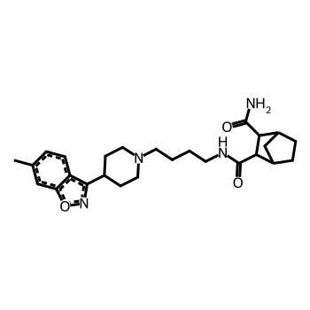 Cc1ccc2c(C3CCN(CCCCNC(=O)C4C5CCC(C5)C4C(N)=O)CC3)noc2c1